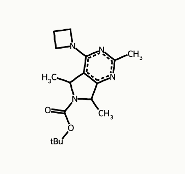 Cc1nc2c(c(N3CCC3)n1)C(C)N(C(=O)OC(C)(C)C)C2C